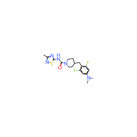 Cc1nsc(NC(=O)N2CCC(Cc3c(F)cc(N(C)C)cc3F)CC2)n1